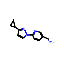 NCc1ccc(-n2ccc(C3CC3)n2)nc1